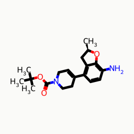 C[C@@H]1Cc2c(C3=CCN(C(=O)OC(C)(C)C)CC3)ccc(N)c2O1